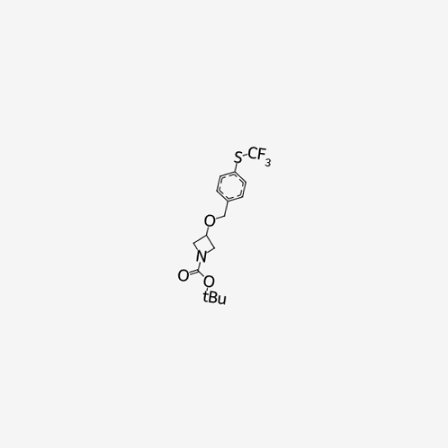 CC(C)(C)OC(=O)N1CC(OCc2ccc(SC(F)(F)F)cc2)C1